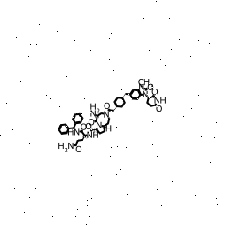 Cn1c(=O)n(C2CCC(=O)NC2=O)c2ccc(C[C@H]3CC[C@@H](CC(=O)N4CC[C@H]5CC[C@@H](C(=O)N[C@@H](CCC(N)=O)C(=O)NC(c6ccccc6)c6ccccc6)N5C(=O)[C@@H](N)C4)CC3)cc21